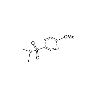 COc1ccc(S(=O)(=O)N(C)C)cc1